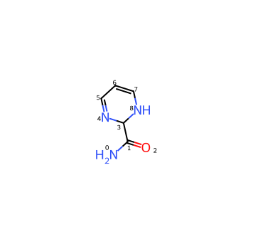 NC(=O)C1N=CC=CN1